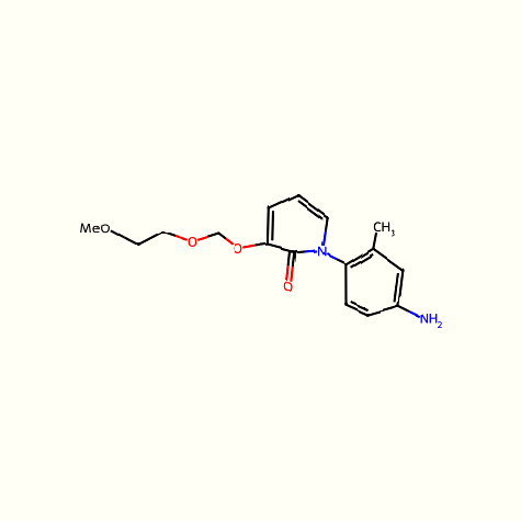 COCCOCOc1cccn(-c2ccc(N)cc2C)c1=O